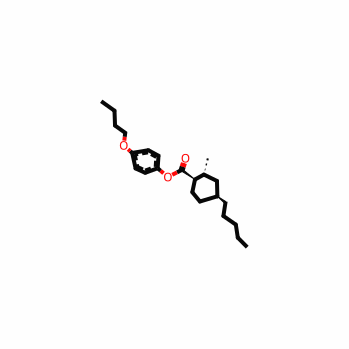 CCCCC[C@H]1CC[C@@H](C(=O)Oc2ccc(OCCCC)cc2)[C@H](C)C1